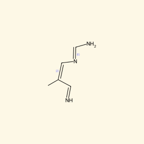 C/C(C=N)=C/N=C/N